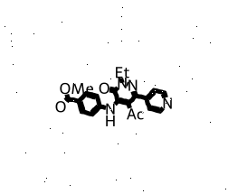 CCn1nc(-c2ccncc2)c(C(C)=O)c(Nc2ccc(C(=O)OC)cc2)c1=O